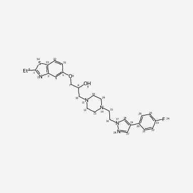 CCc1nc2cc(OCC(O)CN3CCN(CCn4cc(-c5ccc(F)cc5)cn4)CC3)ccc2s1